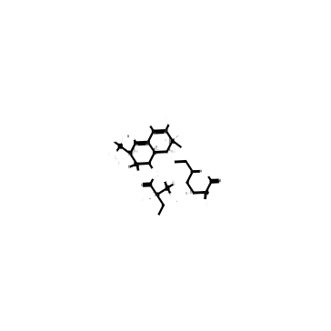 [2H]C1=C([2H])[C@]([2H])(C)[C@H](CCC2C[C@@H](O)C([2H])([2H])C(=O)O2)[C@@H]2C1=C([2H])[C@]([2H])(C([2H])([2H])[2H])C([2H])([2H])C2OC(=O)[C@]([2H])(CC)C([2H])([2H])[2H]